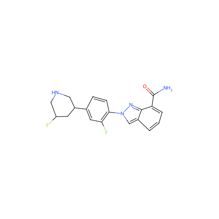 NC(=O)c1cccc2cn(-c3ccc(C4CNCC(F)C4)cc3F)nc12